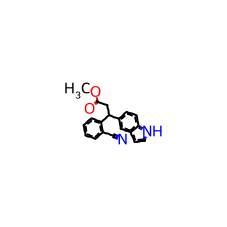 COC(=O)CC(c1ccc2[nH]ccc2c1)c1ccccc1C#N